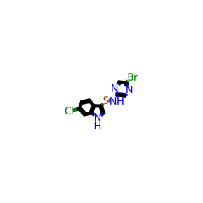 Clc1ccc2c(SNc3cnc(Br)cn3)c[nH]c2c1